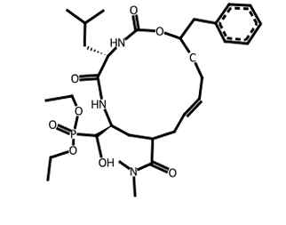 CCOP(=O)(OCC)C(O)[C@@H]1CC(C(=O)N(C)C)C/C=C/CCC(Cc2ccccc2)OC(=O)N[C@@H](CC(C)C)C(=O)N1